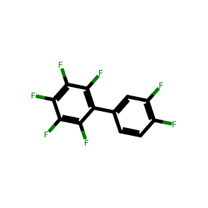 Fc1ccc(-c2c(F)c(F)c(F)c(F)c2F)cc1F